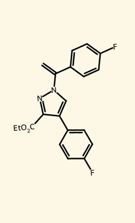 C=C(c1ccc(F)cc1)n1cc(-c2ccc(F)cc2)c(C(=O)OCC)n1